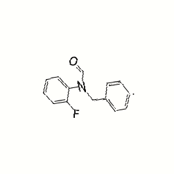 O=CN(Cc1cc[c]cc1)c1ccccc1F